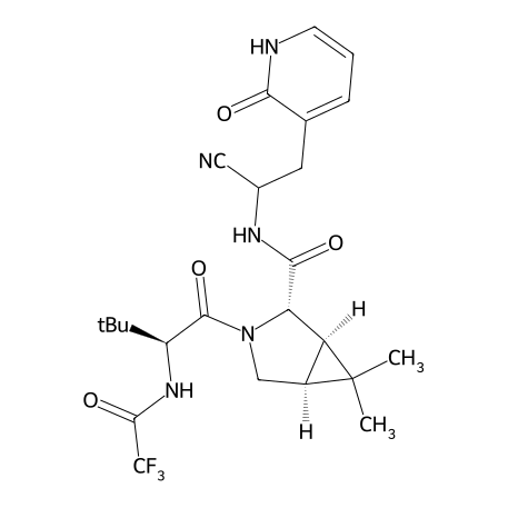 CC(C)(C)[C@H](NC(=O)C(F)(F)F)C(=O)N1C[C@H]2[C@@H]([C@H]1C(=O)NC(C#N)Cc1ccc[nH]c1=O)C2(C)C